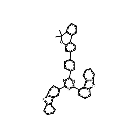 CC1(C)Oc2cc(-c3ccc(-c4nc(-c5ccc6sc7ccccc7c6c5)nc(-c5cccc6oc7ccccc7c56)n4)cc3)ccc2-c2ccccc21